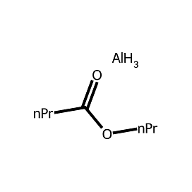 CCCOC(=O)CCC.[AlH3]